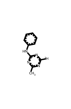 [3H]c1nc(C)nc(Nc2ccccc2)n1